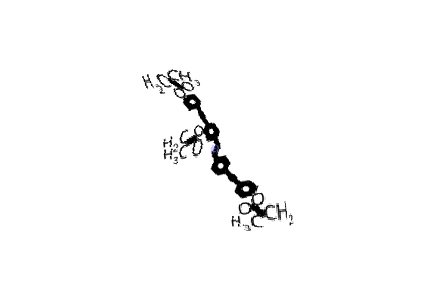 C=C(C)C(=O)Oc1ccc(C#Cc2ccc(/C=C/c3ccc(C#Cc4ccc(OC(=O)C(=C)C)cc4)c(OC(=O)C(=C)C)c3)cc2)cc1